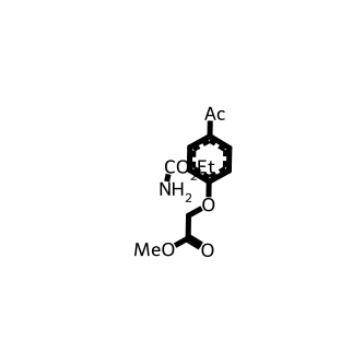 CCOC(N)=O.COC(=O)COc1ccc(C(C)=O)cc1